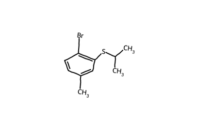 Cc1ccc(Br)c(SC(C)C)c1